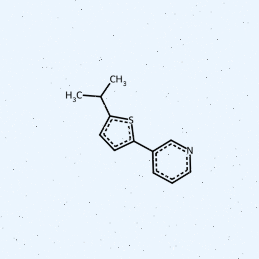 CC(C)c1ccc(-c2cccnc2)s1